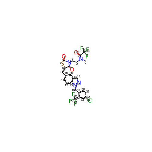 CN(CCN1C(=O)SC(=Cc2ccc3c(cnn3Cc3ccc(Cl)cc3C(F)(F)F)c2)C1=O)C(=O)C(F)(F)F